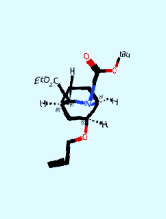 C=CCO[C@H]1C[C@H]2CC[C@@H]1N(C(=O)OC(C)(C)C)[C@H]2C(=O)OCC